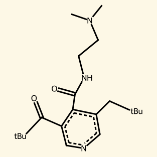 CN(C)CCNC(=O)c1c(CC(C)(C)C)cncc1C(=O)C(C)(C)C